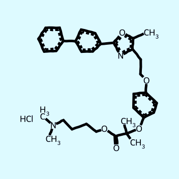 Cc1oc(-c2ccc(-c3ccccc3)cc2)nc1CCOc1ccc(OC(C)(C)C(=O)OCCCCN(C)C)cc1.Cl